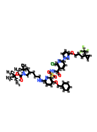 CC(C)(C)OC(=O)N1CC(CCCNc2ccc(OCc3ccccc3)c(S(=O)(=O)NC(=O)c3ccc(-n4ccc(OCCCC5(C(F)(F)F)CC5)n4)nc3Cl)n2)CC1(C)C